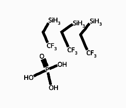 FC(F)(F)C[SiH3].FC(F)(F)C[SiH3].FC(F)(F)C[SiH3].O=P(O)(O)O